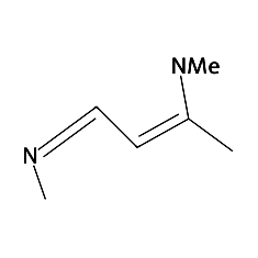 C/N=C\C=C(\C)NC